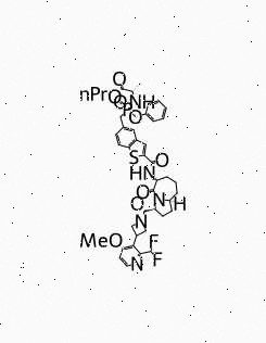 CCCOC(=O)[C@H](C)NP(=O)(Cc1ccc2sc(C(=O)N[C@H]3CCC[C@H]4CC[C@@H](C(=O)N5CC(c6c(OC)ccnc6C(F)F)C5)N4C3=O)cc2c1)Oc1ccccc1